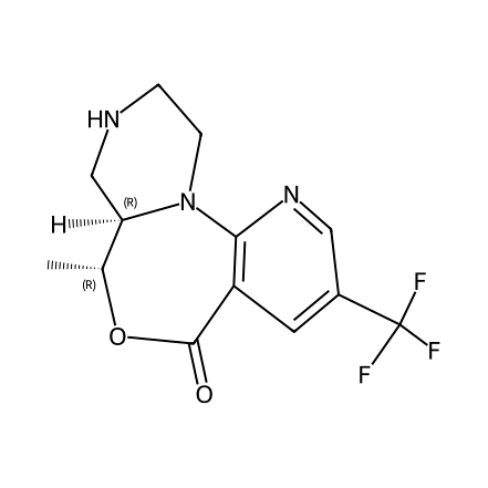 C[C@H]1OC(=O)c2cc(C(F)(F)F)cnc2N2CCNC[C@H]12